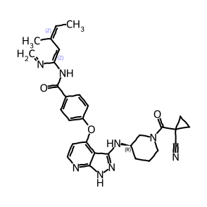 C=N/C(=C\C(C)=C/C)NC(=O)c1ccc(Oc2ccnc3[nH]nc(N[C@@H]4CCCN(C(=O)C5(C#N)CC5)C4)c23)cc1